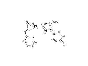 CC(C)c1sc(NCC(CC2C=CC=CC2)C(=O)O)nc1-c1ccc(Cl)cc1